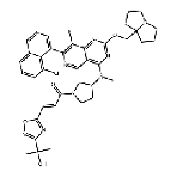 CN(c1nc(OCC23CCCN2CCC3)nc2c(F)c(-c3cccc4cccc(Cl)c34)ncc12)C1CCN(C(=O)/C=C/c2nc(C(C)(C)O)no2)C1